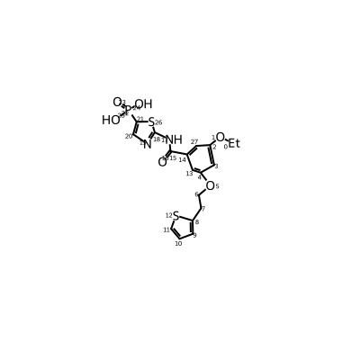 CCOc1cc(OCCc2cccs2)cc(C(=O)Nc2ncc(P(=O)(O)O)s2)c1